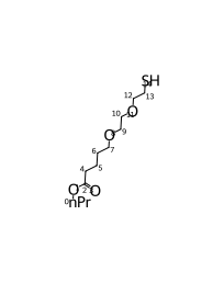 CCCOC(=O)CCCCOCCOCCS